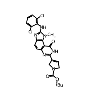 Cn1c(Nc2c(Cl)cccc2Cl)nc2ccc3nc(C4=CCN(C(=O)OC(C)(C)C)C4)[nH]c(=O)c3c21